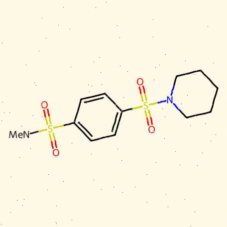 CNS(=O)(=O)c1ccc(S(=O)(=O)N2CCCCC2)cc1